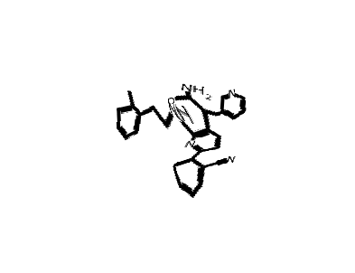 Cc1ccccc1CCNc1nc(-c2ccccc2C#N)ccc1C(C(N)=O)c1cccnc1